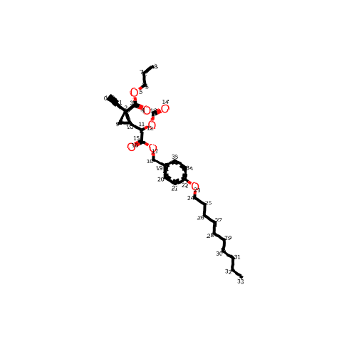 C#CC1(C(=O)OCCC)CC1C(O[C]=O)C(=O)OCc1ccc(OCCCCCCCCCC)cc1